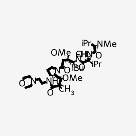 CC[C@H](C)[C@@H]([C@@H](CC(=O)N1CCC[C@H]1[C@H](OC)[C@@H](C)C(=O)NCCN1CCOCC1)OC)N(C)C(=O)[C@@H](NC(=O)[C@@H](NC)C(C)C)C(C)C